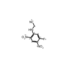 N#CCNc1cc(F)c([N+](=O)[O-])cc1[N+](=O)[O-]